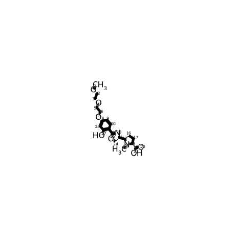 COCCOCCOc1ccc(C2=N[C@H]([C@@H]3CC[C@H](C(=O)O)N3C)CO2)c(O)c1